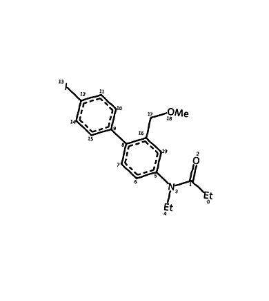 CCC(=O)N(CC)c1ccc(-c2ccc(I)cc2)c(COC)c1